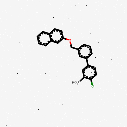 O=C(O)c1cc(-c2cccc(COc3ccc4ccccc4c3)c2)ccc1Cl